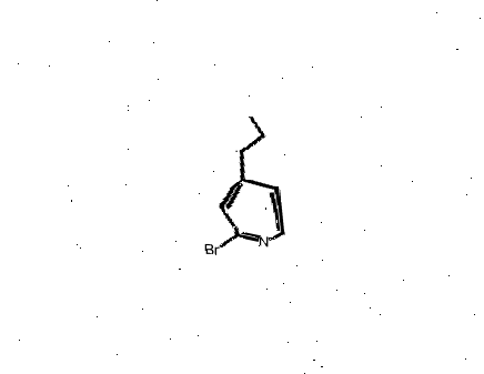 CC[CH]c1ccnc(Br)c1